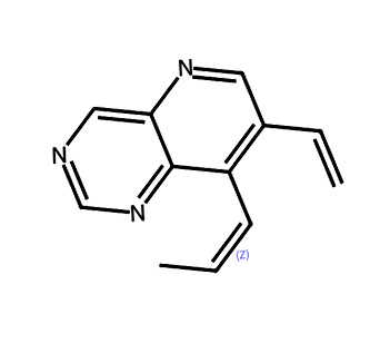 C=Cc1cnc2cncnc2c1/C=C\C